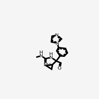 CNC(=N)NC(C=O)(c1cccc(-n2ccnc2)c1)C1CC1